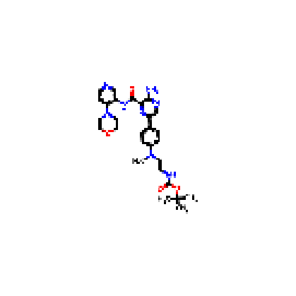 CN(CCNC(=O)OC(C)(C)C)c1ccc(-c2cnc(N)c(C(=O)Nc3cnccc3N3CCOCC3)n2)cc1